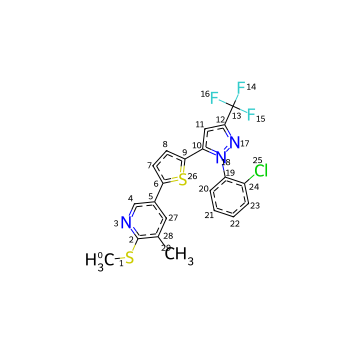 CSc1ncc(-c2ccc(-c3cc(C(F)(F)F)nn3-c3ccccc3Cl)s2)cc1C